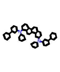 c1ccc(-c2cccc(N(c3ccccc3)c3ccc4ccc5c6cccc(N(c7ccccc7)c7cccc(-c8ccccc8)c7)c6ccc5c4c3)c2)cc1